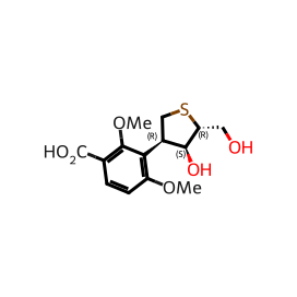 COc1ccc(C(=O)O)c(OC)c1[C@H]1CS[C@H](CO)[C@H]1O